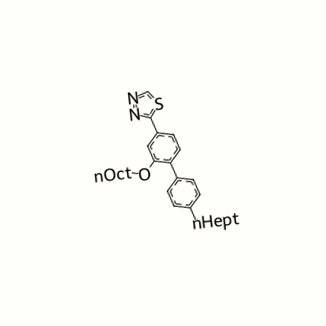 CCCCCCCCOc1cc(-c2nncs2)ccc1-c1ccc(CCCCCCC)cc1